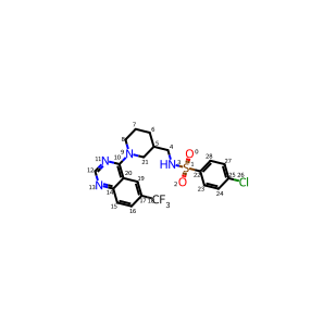 O=S(=O)(NCC1CCCN(c2ncnc3ccc(C(F)(F)F)cc23)C1)c1ccc(Cl)cc1